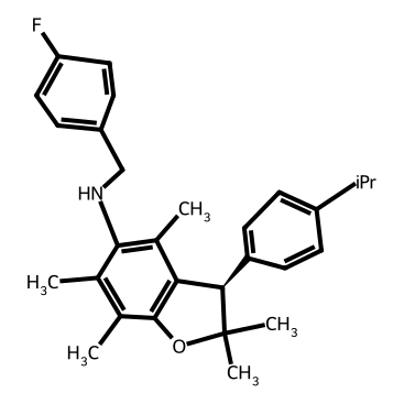 Cc1c(C)c2c(c(C)c1NCc1ccc(F)cc1)[C@@H](c1ccc(C(C)C)cc1)C(C)(C)O2